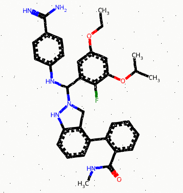 CCOc1cc(OC(C)C)c(F)c(C(Nc2ccc(C(=N)N)cc2)N2Cc3c(cccc3-c3ccccc3C(=O)NC)N2)c1